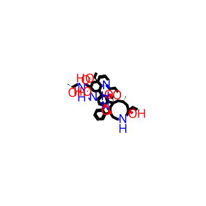 CCCN1CC=C[C@]2(CC)C1C1c3cc([C@@]4(C(=O)OC)C[C@H](C)CC(O)(CC)CNCCc5c4[nH]c4ccccc54)c(OC)cc3N(C)C1[C@@](O)(C(=O)NC[C@@H](C)O)[C@@H]2O